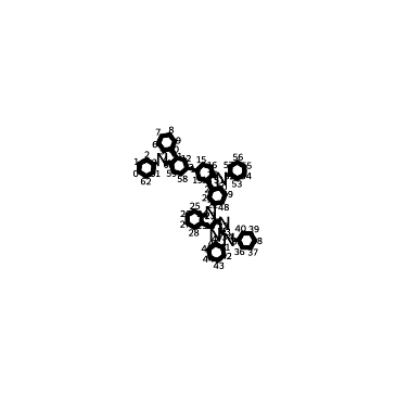 c1ccc(-n2c3ccccc3c3cc(-c4ccc5c(c4)c4cc(-n6c7ccccc7c7c6nc6n(-c8ccccc8)c8ccccc8n76)ccc4n5-c4ccccc4)ccc32)cc1